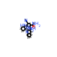 N#Cc1cc(C(N)=O)c(Nc2cnc3ccccc3c2)nc1NC1CCCCC1N